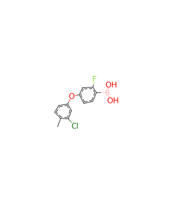 Cc1ccc(Oc2ccc(B(O)O)c(F)c2)cc1Cl